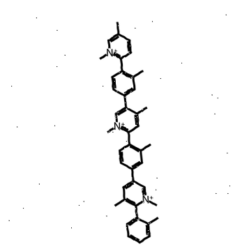 Cc1ccc(-c2ccc(-c3c[n+](C)c(-c4ccc(-c5cc(C)c(-c6ccccc6C)[n+](C)c5)cc4C)cc3C)cc2C)[n+](C)c1